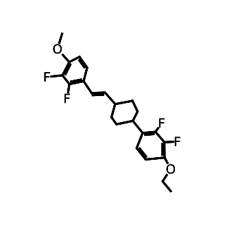 CCOc1ccc(C2CCC(/C=C/c3ccc(OC)c(F)c3F)CC2)c(F)c1F